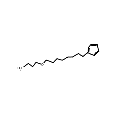 [CH2]CCCOCCCCCCCCc1ccccc1